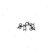 CCOC(=O)CCNC1CCC(C)C(NCCC(=O)OCC)C1